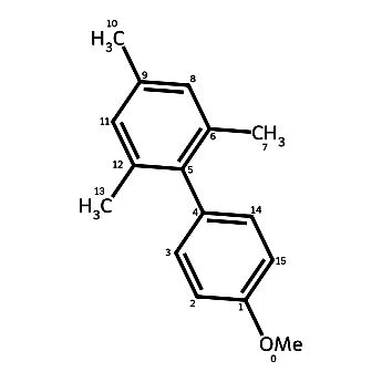 COc1ccc(-c2c(C)cc(C)cc2C)cc1